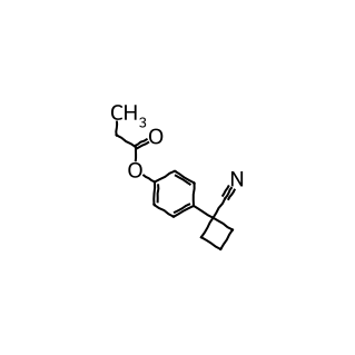 CCC(=O)Oc1ccc(C2(C#N)CCC2)cc1